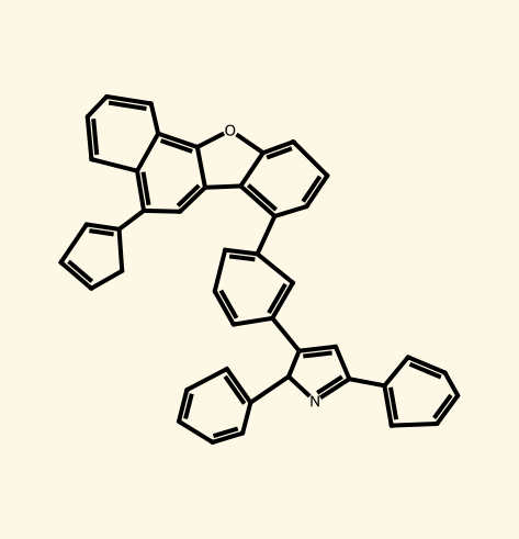 C1=CCC(c2cc3c(oc4cccc(-c5cccc(C6=CC(c7ccccc7)=NC6c6ccccc6)c5)c43)c3ccccc23)=C1